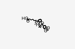 [2H]C(c1ccccc1OCCCCCC(=O)O)N(C(=O)c1ccc(S(C)(=O)=O)cc1)C(C)C